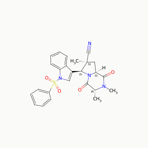 C[C@@H]1C(=O)N2[C@@H](c3cn(S(=O)(=O)c4ccccc4)c4ccccc34)[C@@](C)(C#N)C[C@H]2C(=O)N1C